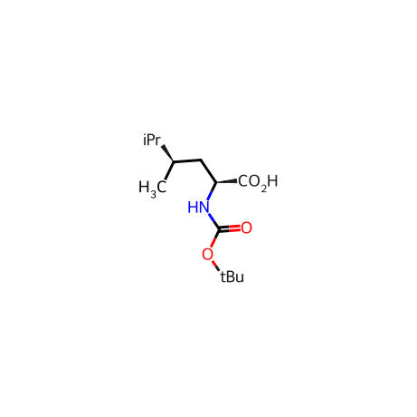 CC(C)[C@H](C)C[C@H](NC(=O)OC(C)(C)C)C(=O)O